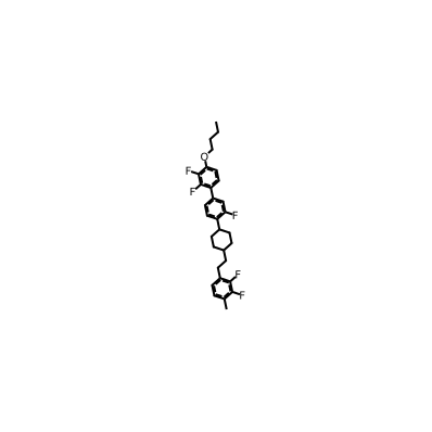 CCCCOc1ccc(-c2ccc(C3CCC(CCc4ccc(C)c(F)c4F)CC3)c(F)c2)c(F)c1F